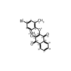 Cc1cc(Br)cc(N)c1OC1=C(Cl)C(=O)c2ccccc2C1=O